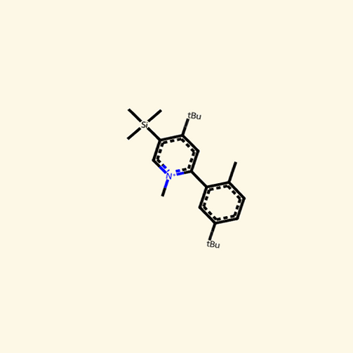 Cc1ccc(C(C)(C)C)cc1-c1cc(C(C)(C)C)c([Si](C)(C)C)c[n+]1C